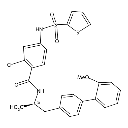 COc1ccccc1-c1ccc(C[C@H](NC(=O)c2ccc(NS(=O)(=O)c3cccs3)cc2Cl)C(=O)O)cc1